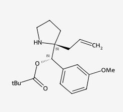 C=CC[C@]1([C@@H](OC(=O)C(C)(C)C)c2cccc(OC)c2)CCCN1